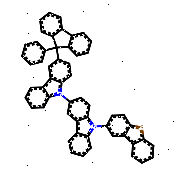 c1ccc(C2(c3ccc4c(c3)c3ccccc3n4-c3ccc4c(c3)c3ccccc3n4-c3ccc4sc5ccccc5c4c3)c3ccccc3-c3ccccc32)cc1